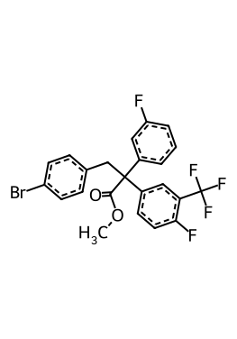 COC(=O)C(Cc1ccc(Br)cc1)(c1cccc(F)c1)c1ccc(F)c(C(F)(F)F)c1